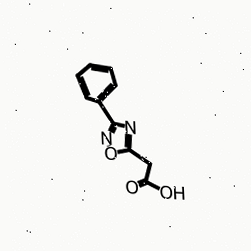 O=C(O)Cc1nc(-c2ccccc2)no1